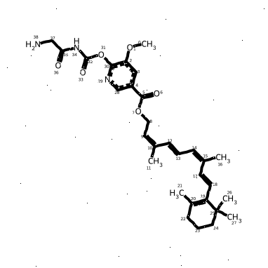 COc1cc(C(=O)OCC=C(C)C=CC=C(C)C=CC2=C(C)CCCC2(C)C)cnc1OC(=O)NC(=O)CN